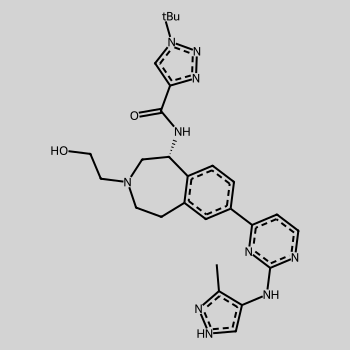 Cc1n[nH]cc1Nc1nccc(-c2ccc3c(c2)CCN(CCO)C[C@@H]3NC(=O)c2cn(C(C)(C)C)nn2)n1